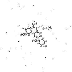 CS(=O)(=O)O.Cc1cc(C(O)C(C)N2CCC(O)(c3ccc(F)cc3)CC2)ccc1O